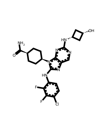 NC(=O)[C@H]1CC[C@@H](n2c(Nc3ccc(Cl)c(F)c3F)nc3cnc(N[C@H]4C[C@@H](O)C4)nc32)CC1